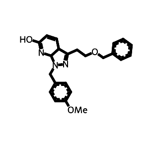 COc1ccc(CN2N=C(CCOCc3ccccc3)C3C=CC(O)=NC32)cc1